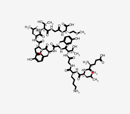 CSCC[C@H](NC(=O)CNC(=O)[C@@H](NC(=O)[C@H](CC(C)C)NC(=O)[C@@H]1CCCN1C(=O)[C@H](Cc1ccc(O)cc1)NC(=O)[C@H](Cc1ccc(O)cc1)NC(=O)[C@@H](NC(=O)CNC(=O)[C@H](CCCCN)NC(=O)[C@H](CC(C)C)NC(=O)[C@@H](N)CCC(=O)O)[C@@H](C)O)[C@@H](C)O)C(=O)O